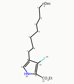 CCCCCCCCCCCCCCCCCc1c[nH]c(C(=O)OCC)c1F